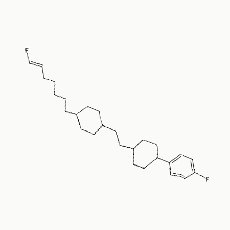 FC=CCCCCCC1CCC(CCC2CCC(c3ccc(F)cc3)CC2)CC1